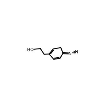 [N-]=[N+]=C1C=CC(CCO)=CC1